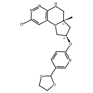 C[C@]12CNc3nnc(Cl)cc3N1C[C@H](Oc1ccc(C3OCCO3)cn1)C2